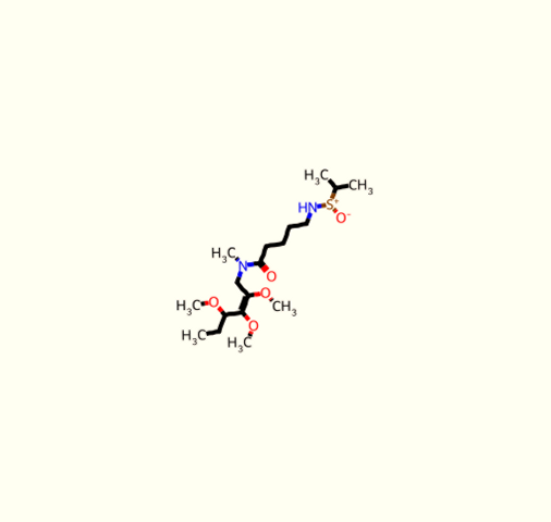 CCC(OC)/C(OC)=C(\CN(C)C(=O)CCCCN[S+]([O-])C(C)C)OC